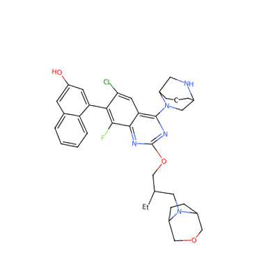 CCC(COc1nc(N2CC3CCCC2CN3)c2cc(Cl)c(-c3cc(O)cc4ccccc34)c(F)c2n1)CN1C2CCC1COC2